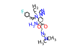 C=CCN(C1=CC(C(N)=O)([C@@H](C=O)CCCN2CC(N(C)C)C2)CC=C1n1ccnn1)[C@@H]1C[C@H]1c1ccc(F)cc1